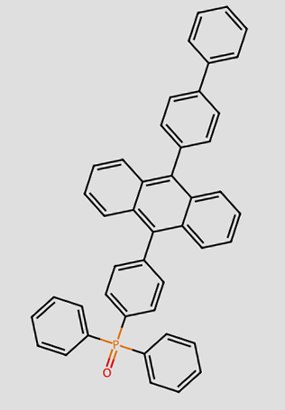 O=P(c1ccccc1)(c1ccccc1)c1ccc(-c2c3ccccc3c(-c3ccc(-c4ccccc4)cc3)c3ccccc23)cc1